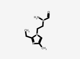 CCc1nc(C)cn1CCN(N)C=O